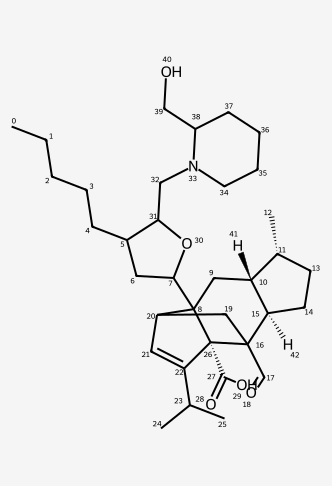 CCCCCC1CC(C23C[C@@H]4[C@H](C)CC[C@H]4C4(C=O)CC2C=C(C(C)C)[C@@]34C(=O)O)OC1CN1CCCCC1CO